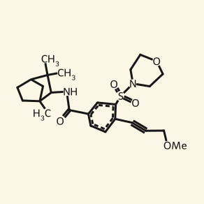 COCC#Cc1ccc(C(=O)NC2C3(C)CCC(C3)C2(C)C)cc1S(=O)(=O)N1CCOCC1